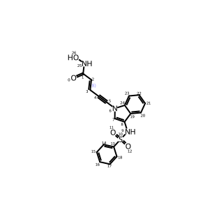 O=C(/C=C/C#Cn1cc(NS(=O)(=O)c2ccccc2)c2ccccc21)NO